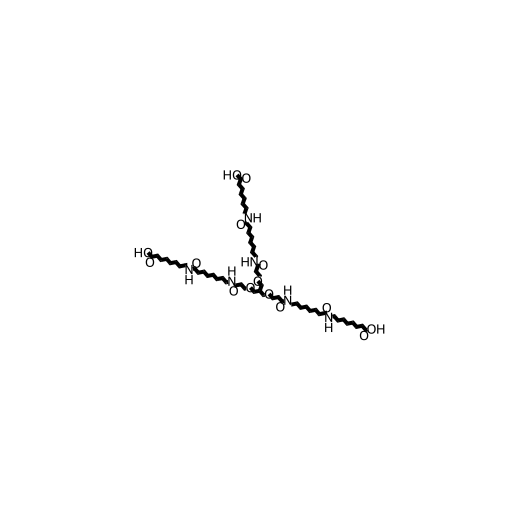 O=C(O)CCCCCCCNC(=O)CCCCCCCNC(=O)CCOCC(COCCC(=O)NCCCCCCCC(=O)NCCCCCCCC(=O)O)COCCC(=O)NCCCCCCCC(=O)NCCCCCCCC(=O)O